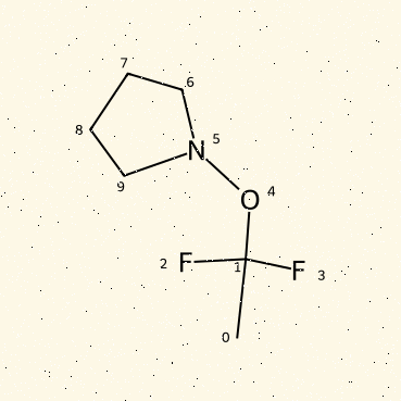 CC(F)(F)ON1CCCC1